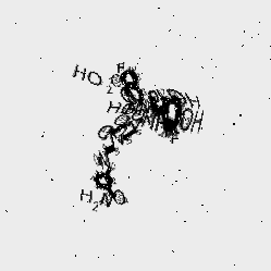 CN(CCN1CCN(C(=O)NC(C(=O)N[C@H]2Cc3ccc(F)c(C(=O)O)c3OB2O)c2cc(F)c(O)c(O)c2Cl)C(=O)C1=O)Cc1cccc(C(N)=O)c1